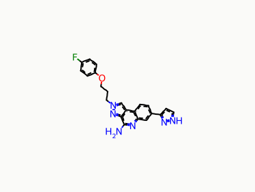 Nc1nc2cc(-c3cc[nH]n3)ccc2c2cn(CCCOc3ccc(F)cc3)nc12